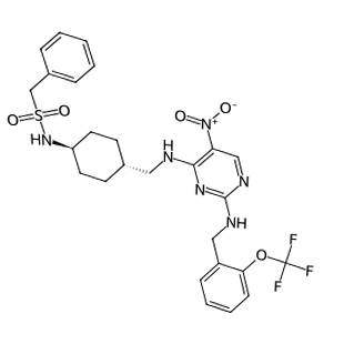 O=[N+]([O-])c1cnc(NCc2ccccc2OC(F)(F)F)nc1NC[C@H]1CC[C@H](NS(=O)(=O)Cc2ccccc2)CC1